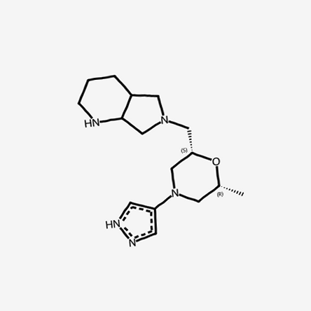 C[C@@H]1CN(c2cn[nH]c2)C[C@H](CN2CC3CCCNC3C2)O1